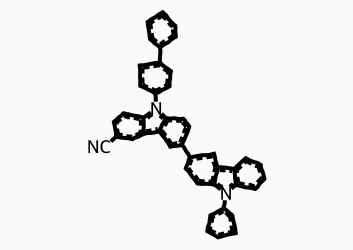 N#Cc1ccc2c(c1)c1cc(-c3ccc4c(c3)c3ccccc3n4-c3ccccc3)ccc1n2-c1ccc(-c2ccccc2)cc1